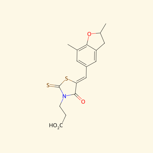 Cc1cc(/C=C2\SC(=S)N(CCC(=O)O)C2=O)cc2c1OC(C)C2